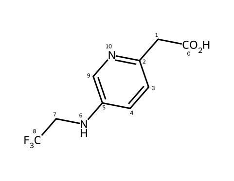 O=C(O)Cc1ccc(NCC(F)(F)F)cn1